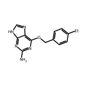 CCc1ccc(COc2nc(N)nc3[nH]cnc23)cc1